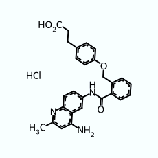 Cc1cc(N)c2cc(NC(=O)c3ccccc3COc3ccc(CCC(=O)O)cc3)ccc2n1.Cl